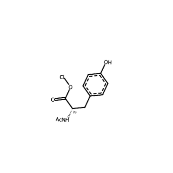 CC(=O)N[C@@H](Cc1ccc(O)cc1)C(=O)OCl